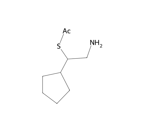 CC(=O)SC(CN)C1CCCC1